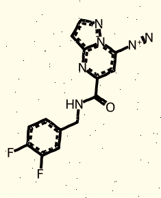 N#[N+]c1cc(C(=O)NCc2ccc(F)c(F)c2)nc2ccnn12